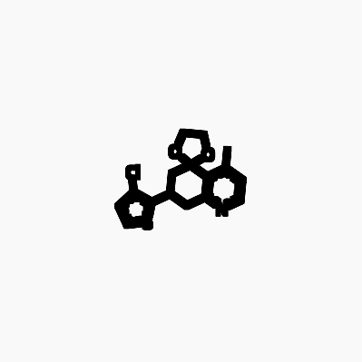 Cc1ccnc2c1C1(CC(c3sccc3Cl)C2)OCCO1